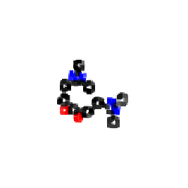 c1ccc(-c2cc(-c3cccc(-c4ccc5oc6cc7oc8ccc(-c9cccc(-c%10cc(-c%11ccccc%11)nc(-c%11ccccc%11)n%10)c9)cc8c7cc6c5c4)c3)nc(-c3ccccc3)n2)cc1